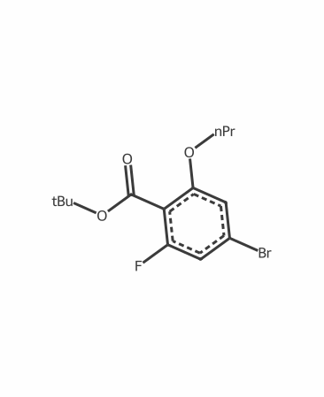 CCCOc1cc(Br)cc(F)c1C(=O)OC(C)(C)C